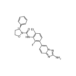 CCc1ccc(-c2ccc3nc(N)nn3c2)c(F)c1NC(=O)N1OCC[C@H]1c1ccccc1